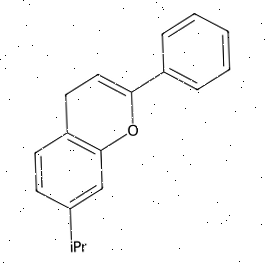 CC(C)c1ccc2c(c1)OC(c1ccccc1)=CC2